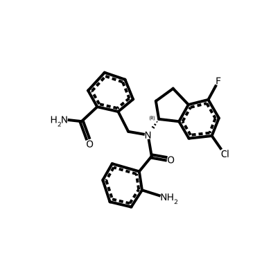 NC(=O)c1ccccc1CN(C(=O)c1ccccc1N)[C@@H]1CCc2c(F)cc(Cl)cc21